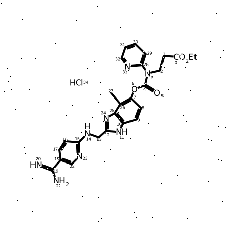 CCOC(=O)CCN(C(=O)Oc1ccc2[nH]c(CNc3ccc(C(=N)N)cn3)nc2c1C)c1ccccn1.Cl